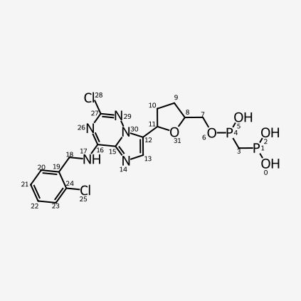 OP(O)CP(O)OCC1CCC(c2cnc3c(NCc4ccccc4Cl)nc(Cl)nn23)O1